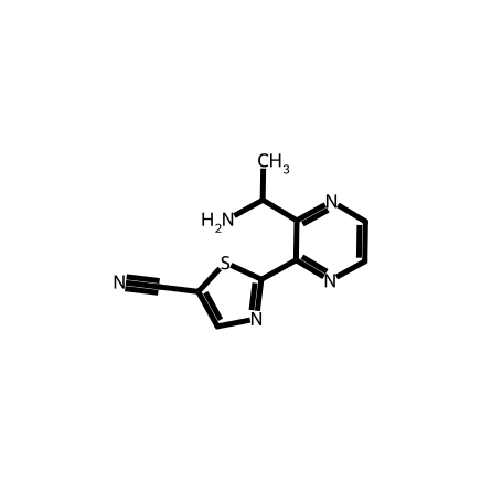 CC(N)c1nccnc1-c1ncc(C#N)s1